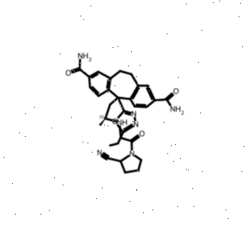 CCc1nnc(C2(C[C@H](C)NCC(=O)N3CCCC3C#N)c3ccc(C(N)=O)cc3CCc3cc(C(N)=O)ccc32)o1